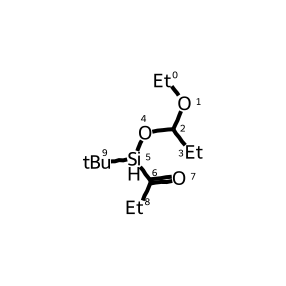 CCOC(CC)O[SiH](C(=O)CC)C(C)(C)C